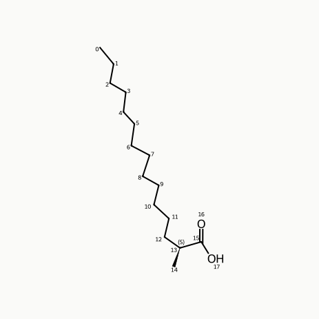 CCCCCCCCCCCCC[C@H](C)C(=O)O